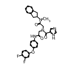 CN(C(=O)CN(CC(=O)Nc1ccc(Oc2ccc(F)c(F)c2)cc1)C(=O)c1cnc[nH]1)C1Cc2ccccc2C1